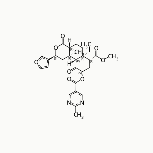 CC[C@@]12CC[C@H]3C(=O)O[C@H](c4ccoc4)C[C@]3(C)[C@H]1C(=O)[C@@H](OC(=O)c1cnc(C)nc1)C[C@H]2C(=O)OC